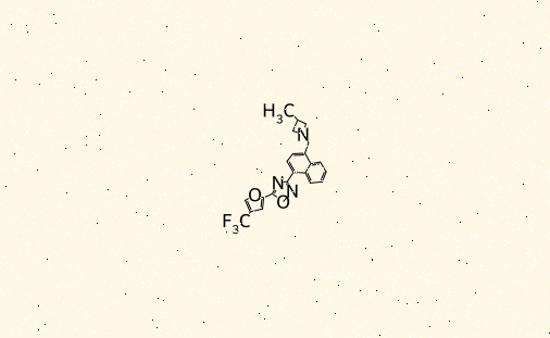 CC1CN(Cc2ccc(-c3noc(-c4cc(C(F)(F)F)co4)n3)c3ccccc23)C1